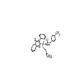 CCOCCC(C)(NC(=O)Cc1ccc(C(F)(F)F)cc1)c1nc2ccccc2c(=O)n1-c1ccccc1